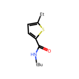 CCc1ccc(C(=O)NC(C)(C)C)s1